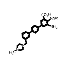 CNc1c(N)cc(-c2ccc(-c3cccc(CN4CCN(C)CC4)c3)cc2)cc1C(=O)O